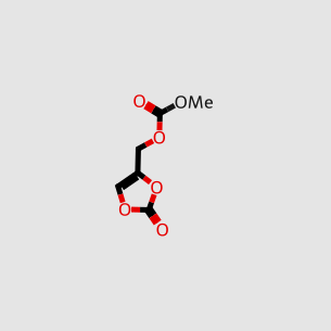 COC(=O)OCc1coc(=O)o1